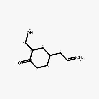 C=CCC1CCC(=O)C(CO)C1